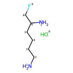 Cl.NCCCCC(N)CF